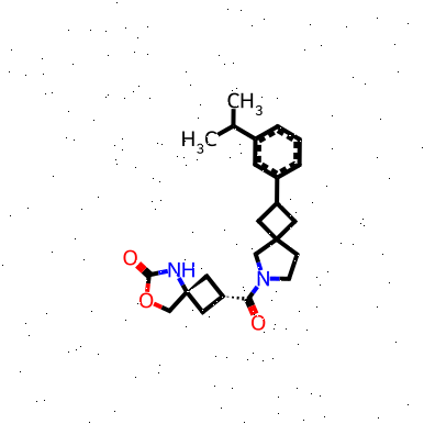 CC(C)c1cccc(C2CC3(CCN(C(=O)[C@H]4C[C@]5(COC(=O)N5)C4)C3)C2)c1